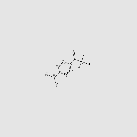 CC(C)(O)C(=O)c1ccc(C(Br)Br)cc1